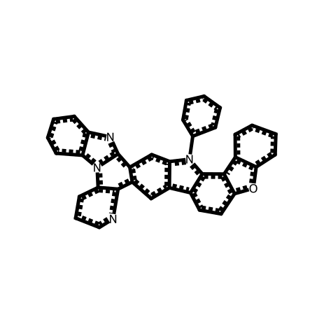 c1ccc(-n2c3cc4c(cc3c3ccc5oc6ccccc6c5c32)c2ncccc2n2c3ccccc3nc42)cc1